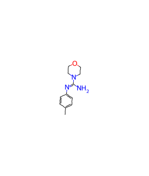 Cc1ccc(/N=C(\N)N2CCOCC2)cc1